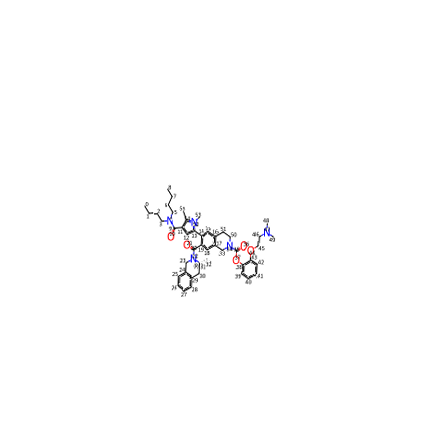 CCCCN(CCCC)C(=O)c1cc(-c2cc3c(cc2C(=O)N2Cc4ccccc4C[C@H]2C)CN(C(=O)Oc2ccccc2OCCN(C)C)CC3)n(C)c1C